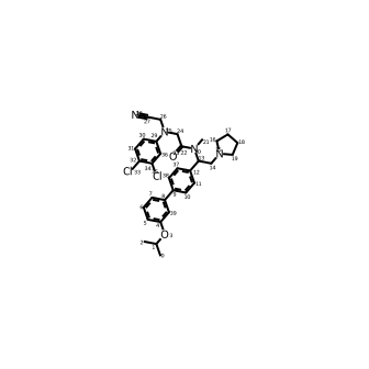 CC(C)Oc1cccc(-c2ccc(C(CN3CCCC3)N(C)C(=O)CN(CC#N)c3ccc(Cl)c(Cl)c3)cc2)c1